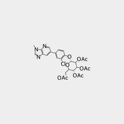 CC(=O)OCC1O[C@H](Oc2ccc(-c3cnc4c(c3)ncn4C)cc2Cl)C(OC(C)=O)C(OC(C)=O)[C@@H]1OC(C)=O